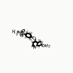 COc1cc2nccc(Oc3ccc(S(N)(=O)=O)cc3)c2cn1